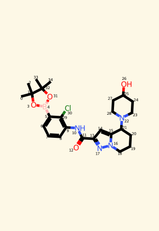 CC1(C)OB(c2cccc(NC(=O)c3cc4n(n3)CCCC4N3CCC(O)CC3)c2Cl)OC1(C)C